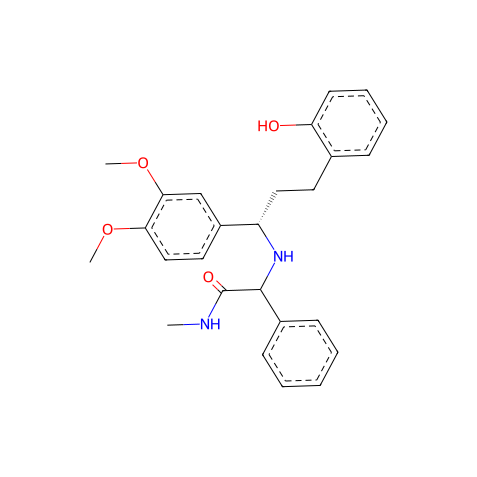 CNC(=O)C(N[C@@H](CCc1ccccc1O)c1ccc(OC)c(OC)c1)c1ccccc1